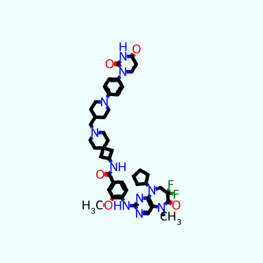 COc1cc(C(=O)NC2CC3(CCN(CC4CCN(c5ccc(N6CCC(=O)NC6=O)cc5)CC4)CC3)C2)ccc1Nc1ncc2c(n1)N(C1CCCC1)CC(F)(F)C(=O)N2C